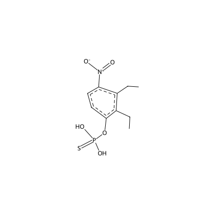 CCc1c(OP(O)(O)=S)ccc([N+](=O)[O-])c1CC